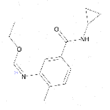 CCO/C=N\c1cc(C(=O)NC2CC2)ccc1C